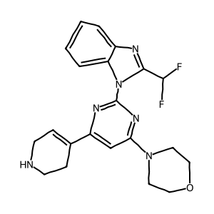 FC(F)c1nc2ccccc2n1-c1nc(C2=CCNCC2)cc(N2CCOCC2)n1